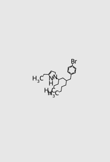 CCCCC(Cc1ccc(Br)cc1)CC(CCC)N1CC=C(CC)N1